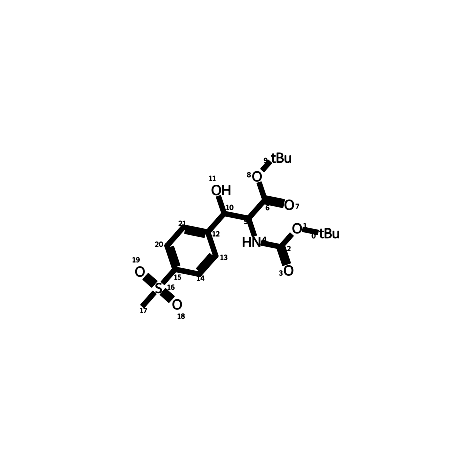 CC(C)(C)OC(=O)NC(C(=O)OC(C)(C)C)C(O)c1ccc(S(C)(=O)=O)cc1